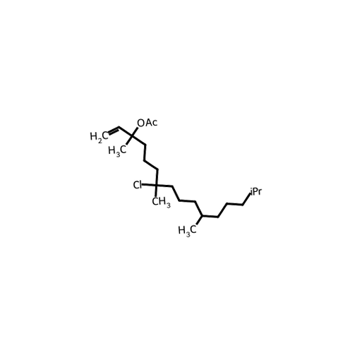 C=CC(C)(CCCC(C)(Cl)CCCC(C)CCCC(C)C)OC(C)=O